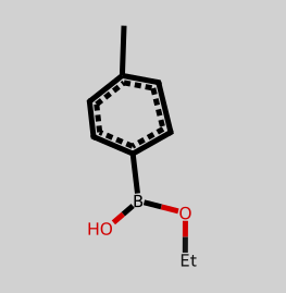 CCOB(O)c1ccc(C)cc1